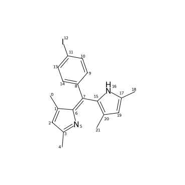 CC1=CC(C)=NC1=C(c1ccc(I)cc1)c1[nH]c(C)cc1C